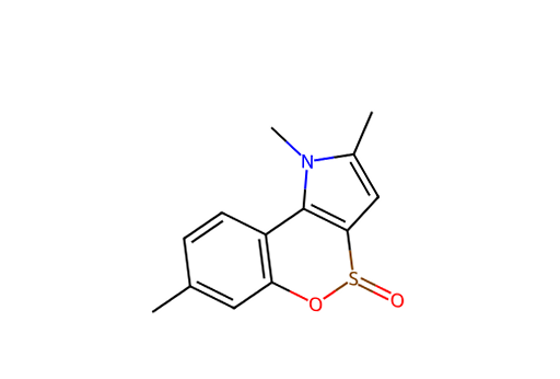 Cc1ccc2c(c1)OS(=O)c1cc(C)n(C)c1-2